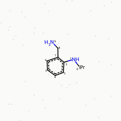 CC(C)Nc1ccccc1CN